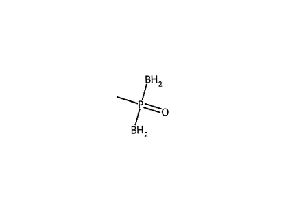 BP(B)(C)=O